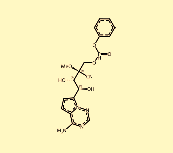 CO[C@](C#N)(CO[PH](=O)Oc1ccccc1)[C@@H](O)[C@@H](O)c1ccc2c(N)ncnn12